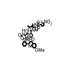 C=CC1CC1(NC(=O)C1CC(Oc2cc(-c3ccccc3)nc3cc(OC)ccc23)CN1C(=O)C(NC(=O)OC(C)(C)C)C(C)(C)C)C(=O)NS(=O)(=O)c1ccc([N+](=O)[O-])s1